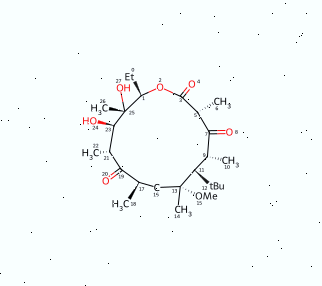 CC[C@H]1OC(=O)[C@H](C)C(=O)[C@H](C)[C@@H](C(C)(C)C)[C@](C)(OC)C[C@@H](C)C(=O)[C@H](C)[C@@H](O)[C@]1(C)O